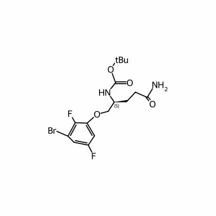 CC(C)(C)OC(=O)N[C@@H](CCC(N)=O)COc1cc(F)cc(Br)c1F